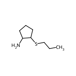 CCCSC1CCCC1N